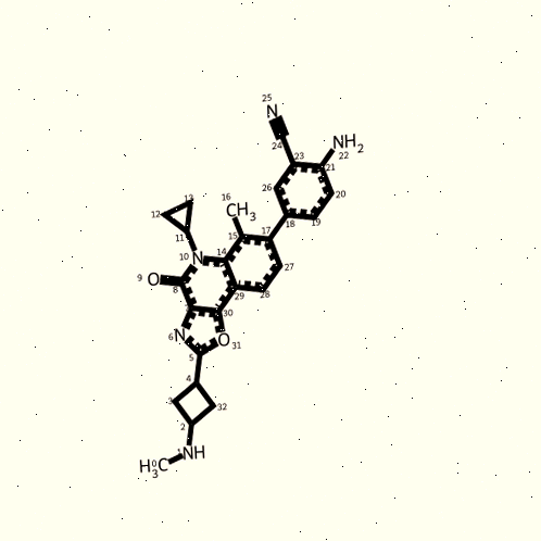 CNC1CC(c2nc3c(=O)n(C4CC4)c4c(C)c(-c5ccc(N)c(C#N)c5)ccc4c3o2)C1